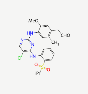 COc1cc(CC=O)c(C)cc1Nc1ncc(Cl)c(Nc2ccccc2S(=O)(=O)C(C)C)n1